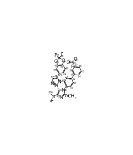 Cc1nc(C(F)F)cn1-c1ccc(-c2cccc([SH](=O)=O)c2)cc1-n1nncc1-c1ccc2c(c1)OC(F)(F)O2